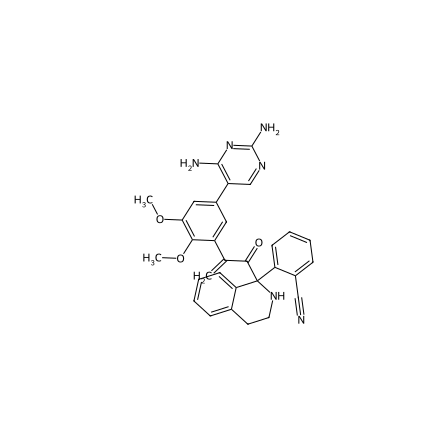 C=C(C(=O)C1(c2ccccc2C#N)NCCc2ccccc21)c1cc(-c2cnc(N)nc2N)cc(OC)c1OC